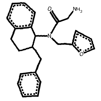 NCC(=O)N(Cc1ccco1)C1c2ccccc2CCC1Cc1ccccc1